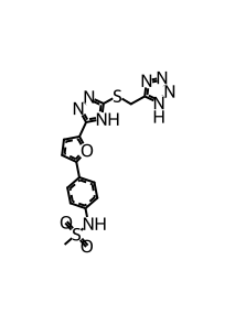 CS(=O)(=O)Nc1ccc(-c2ccc(-c3nnc(SCc4nnn[nH]4)[nH]3)o2)cc1